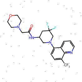 O=C(CN1CCOCC1)NC1CN(c2ccc(C(F)(F)F)c3ncccc23)CC(F)(F)C1